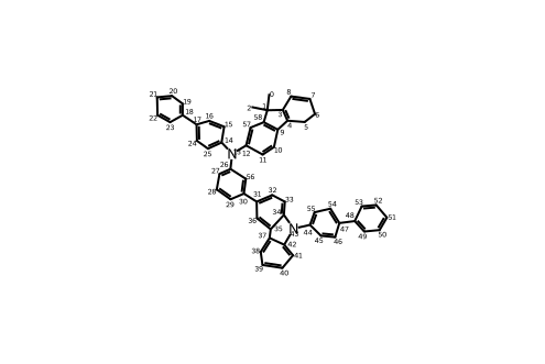 CC1(C)C2=C(CCC=C2)c2ccc(N(c3ccc(-c4ccccc4)cc3)c3cccc(-c4ccc5c(c4)c4ccccc4n5-c4ccc(-c5ccccc5)cc4)c3)cc21